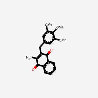 COc1cc(CC2=C(C)C(=O)c3ccccc3C2=O)cc(OC)c1OC